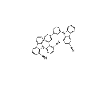 N#Cc1ccc2c(c1)c1ccccc1n2-c1cccc(-c2cccc(-c3c(C#N)cccc3-n3c4ccccc4c4cccc(C#N)c43)c2)c1